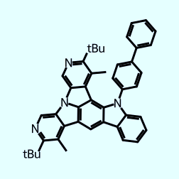 Cc1c(C(C)(C)C)ncc2c1c1cc3c4ccccc4n(-c4ccc(-c5ccccc5)cc4)c3c3c4c(C)c(C(C)(C)C)ncc4n2c13